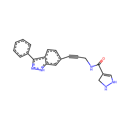 O=C(NCC#Cc1ccc2c(-c3ccccc3)n[nH]c2c1)C1=CNNC1